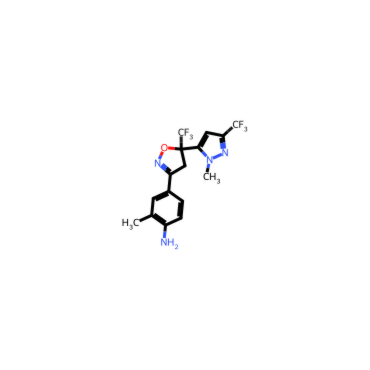 Cc1cc(C2=NOC(c3cc(C(F)(F)F)nn3C)(C(F)(F)F)C2)ccc1N